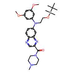 COc1cc(OC)cc(N(CCO[Si](C)(C)C(C)(C)C)c2ccc3ncc(C(=O)N4CCN(C)CC4)nc3c2)c1